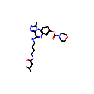 Cc1nnc2c(NCCCCNC(=O)CC(C)C)nc3cc(OC(=O)N4CCOCC4)ccc3n12